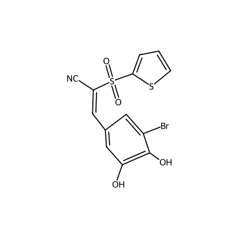 N#CC(=Cc1cc(O)c(O)c(Br)c1)S(=O)(=O)c1cccs1